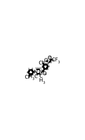 CC1C(C)N(c2cccc(Cl)c2)CCN1C(=O)c1ccc([S+]([O-])CC(=O)C(F)(F)F)c(Cl)c1